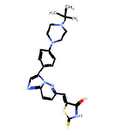 CC(C)(C)N1CCN(c2ccc(-c3cnc4ccc(/C=C5\SC(=S)NC5=O)nn34)cc2)CC1